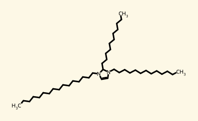 CCCCCCCCCCCCCCCCN1C=CN(CCCCCCCCCCCCC)C1CCCCCCCCCCC